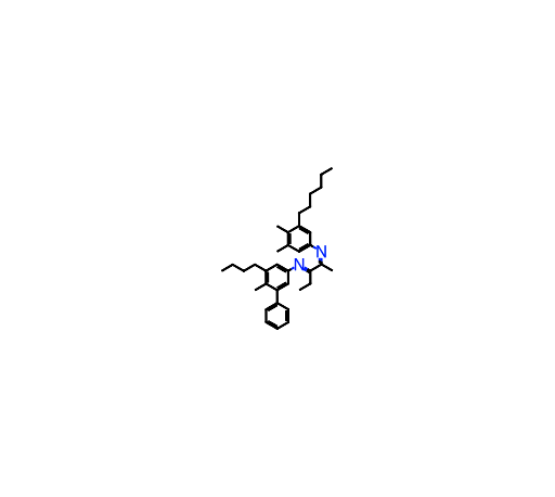 CCCCCCc1cc(N=C(C)C(CC)=Nc2cc(CCCC)c(C)c(-c3ccccc3)c2)cc(C)c1C